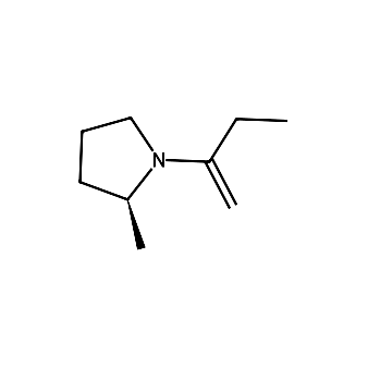 C=C(CC)N1CCC[C@@H]1C